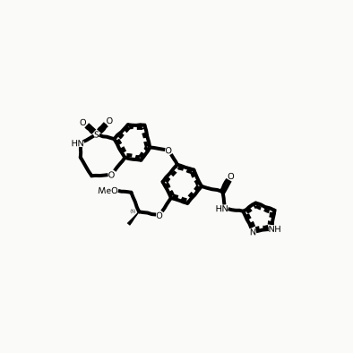 COC[C@H](C)Oc1cc(Oc2ccc3c(c2)OCCNS3(=O)=O)cc(C(=O)Nc2cc[nH]n2)c1